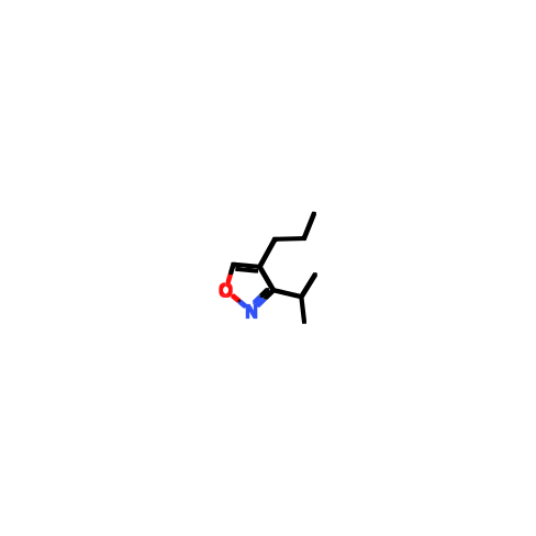 CCCc1conc1C(C)C